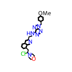 COc1ccc(Cn2cnc3c(NCCc4cc5cccc(CC(Cl)N6CCOCC6)c5cn4)ncnc32)cc1